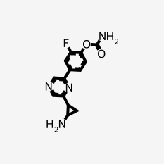 NC(=O)Oc1ccc(-c2cncc(C3CC3N)n2)cc1F